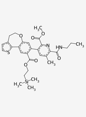 CCCNC(=O)c1nc(C(=O)OC)c(-c2cc3c(cc2C(=O)OCC[Si](C)(C)C)-c2sccc2CCO3)cc1C